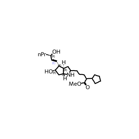 CCC[C@@H](O)/C=C/[C@@H]1[C@H]2CC(CCCC(C(=O)OC)C3CCCC3)N[C@@H]2C[C@H]1O